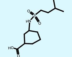 CC(C)CCS(=O)(=O)NC1CCCC(C(=O)O)C1